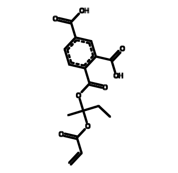 C=CC(=O)OC(C)(CC)OC(=O)c1ccc(C(=O)O)cc1C(=O)O